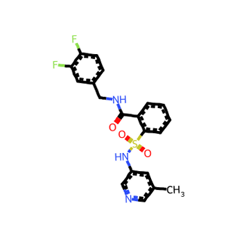 Cc1cncc(NS(=O)(=O)c2ccccc2C(=O)NCc2ccc(F)c(F)c2)c1